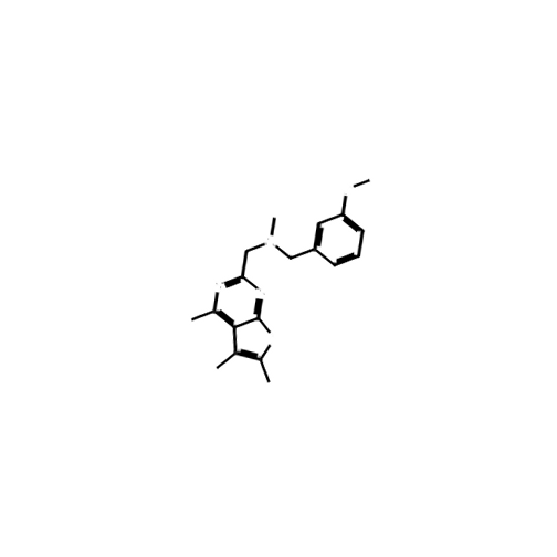 COc1cccc(CN(C)Cc2nc(C)c3c(C)c(C)sc3n2)c1